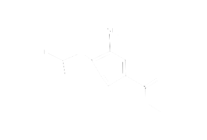 COC(=O)c1ccc(OC(F)F)c(N)c1